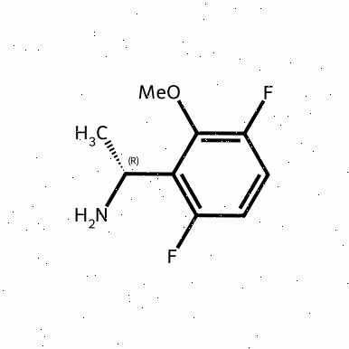 COc1c(F)ccc(F)c1[C@@H](C)N